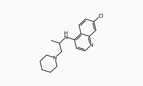 CC(CN1CCCCC1)Nc1ccnc2cc(Cl)ccc12